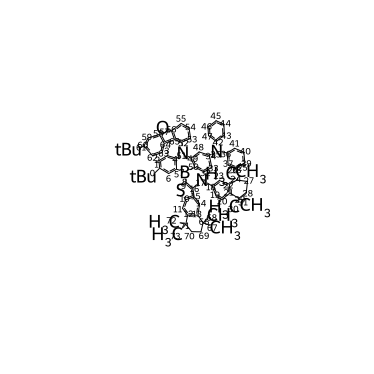 CC(C)(C)c1ccc2c(c1)B1c3sc4cc5c(cc4c3N(c3ccc4c(c3)C(C)(C)CCC4(C)C)c3cc(N(c4ccccc4)c4ccccc4)cc(c31)N2c1cccc2oc3cc(C(C)(C)C)ccc3c12)C(C)(C)CCC5(C)C